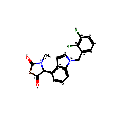 CN1C(=O)SC(=O)C1c1cccc2c1ccn2Cc1cccc(F)c1F